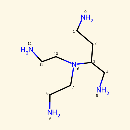 NCCC(CN)N(CCN)CCN